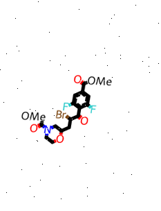 COC(=O)c1cc(F)c(C(=O)C(Br)CC2CN(C(=O)OC)CCO2)c(F)c1